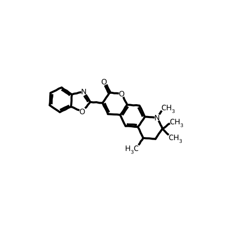 CC1CC(C)(C)N(C)c2cc3oc(=O)c(-c4nc5ccccc5o4)cc3cc21